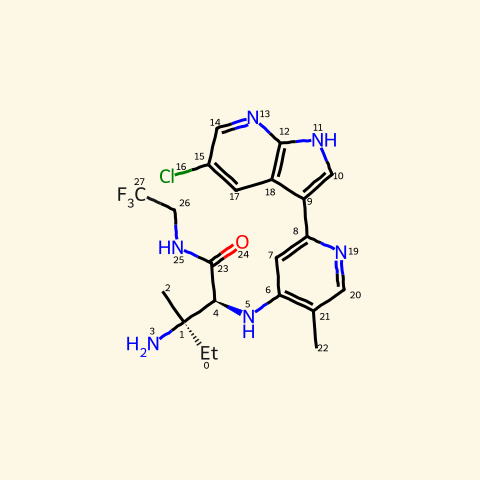 CC[C@@](C)(N)[C@H](Nc1cc(-c2c[nH]c3ncc(Cl)cc23)ncc1C)C(=O)NCC(F)(F)F